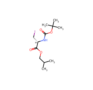 CC(C)COC(=O)[C@H](CI)NC(=O)OC(C)(C)C